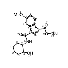 COc1ccc2c(n1)c(C(=O)N[C@H]1CCCC[C@@H]1O)cn2C(=O)OC(C)(C)C